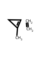 C=C.CC1=CC1